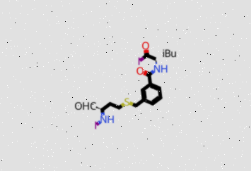 CC[C@H](C)[C@H](NC(=O)c1cccc(CSCC[C@@H](C=O)NI)c1)C(=O)I